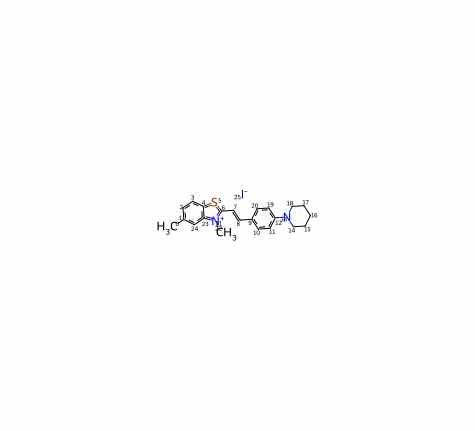 Cc1ccc2sc(C=Cc3ccc(N4CCCCC4)cc3)[n+](C)c2c1.[I-]